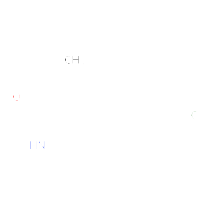 C[C@H]1C(=O)NCCc2cc(Cl)ccc21